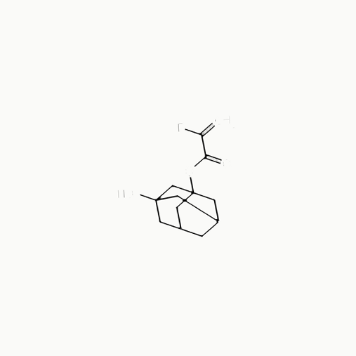 C=C(F)C(=O)OC12CC3CC(CC(C)(C3)C1)C2